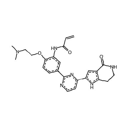 C=CC(=O)Nc1cc(-c2nccc(-c3cc4c([nH]3)CCNC4=O)n2)ccc1OCCN(C)C